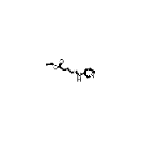 CCOC(=O)CC/C=N/Nc1cccnc1